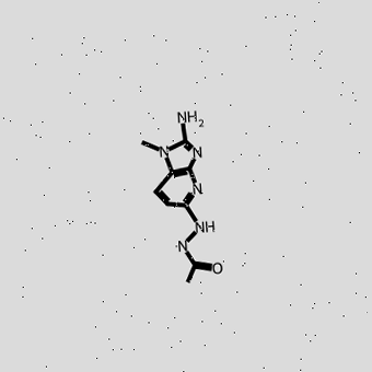 CC(=O)[N]Nc1ccc2c(n1)nc(N)n2C